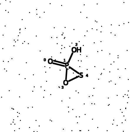 O=P1(O)OS1